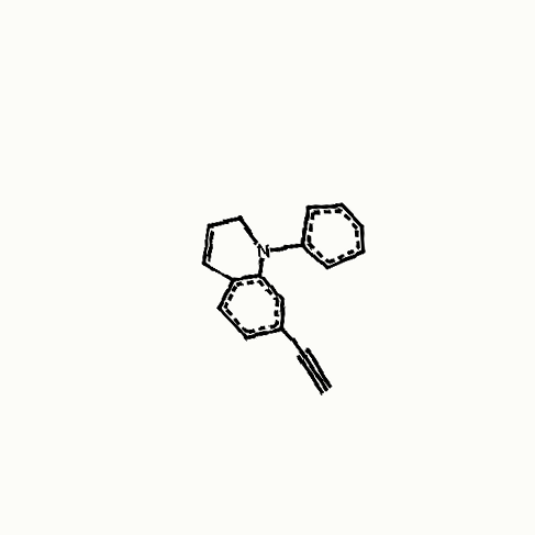 C#Cc1ccc2c(c1)N(c1ccccc1)CC=C2